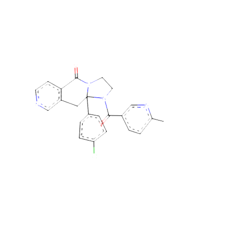 Cc1ccc(C(=O)N2CCN3C(=O)c4ccncc4CC23c2ccc(Cl)cc2)cn1